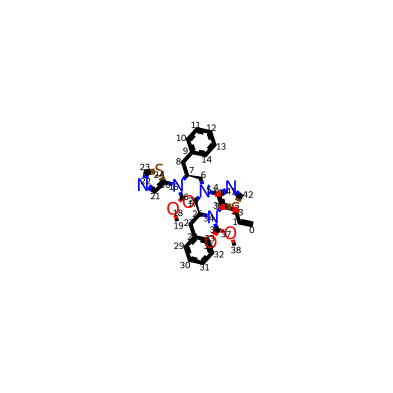 C=CCCCN(C[C@H](Cc1ccccc1)N(C(=O)OC)c1cncs1)C[C@H](Cc1ccccc1)N(C(=O)OC)c1cncs1